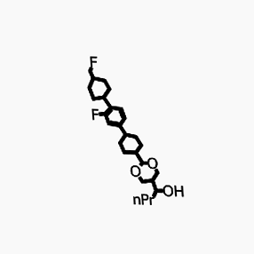 CCCC(O)C1COC(C2CCC(c3ccc(C4CCC(CF)CC4)c(F)c3)CC2)OC1